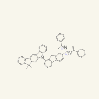 C=C(/N=C(\N=C(/C)c1ccccc1)c1ccc2c(c1)Cc1c-2cccc1-n1c2ccccc2c2cc3c(cc21)C(C)(C)c1ccccc1-3)c1ccccc1